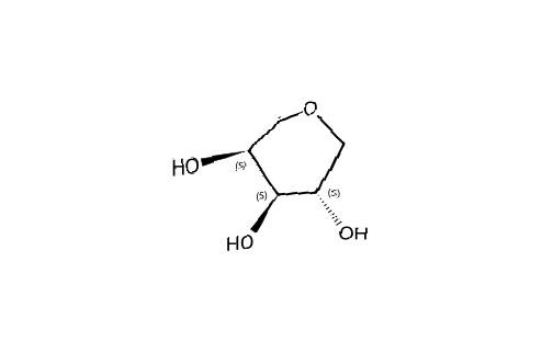 O[C@H]1[C@@H](O)[CH]OC[C@@H]1O